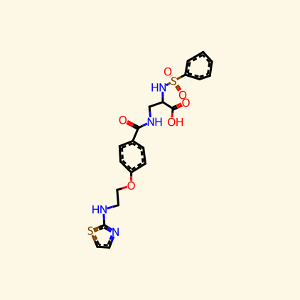 O=C(NCC(NS(=O)(=O)c1ccccc1)C(=O)O)c1ccc(OCCNc2nccs2)cc1